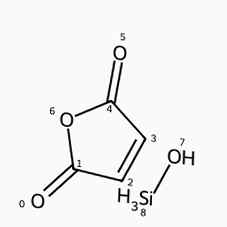 O=C1C=CC(=O)O1.O[SiH3]